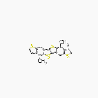 Cc1c2ccsc2cc2c1sc1c3cc4sccc4c(C)c3sc21